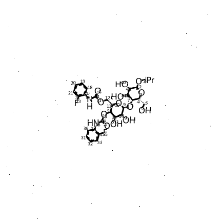 CC(C)OC1O[C@H](CO)[C@@H](O[C@@H]2O[C@H](COC(=O)Nc3ccccc3F)C(OC(=O)Nc3ccccc3F)[C@H](O)[C@H]2O)[C@H](O)[C@H]1O